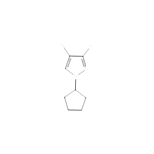 Nc1cn(C2CCCC2)nc1N